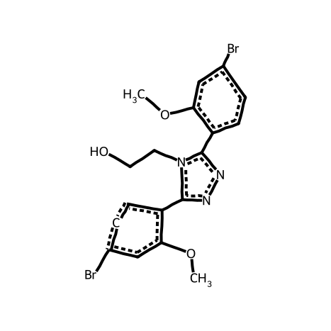 COc1cc(Br)ccc1-c1nnc(-c2ccc(Br)cc2OC)n1CCO